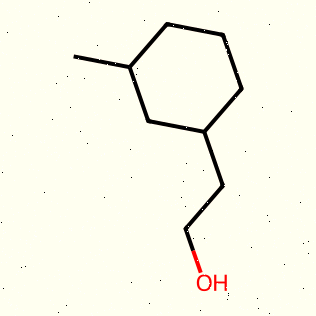 CC1CCCC(CCO)C1